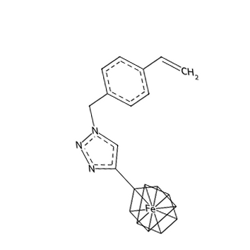 C=Cc1ccc(Cn2cc([C]34[CH]5[CH]6[CH]7[CH]3[Fe]6754389%10[CH]4[CH]3[CH]8[CH]9[CH]4%10)nn2)cc1